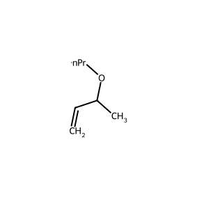 C=CC(C)O[CH]CC